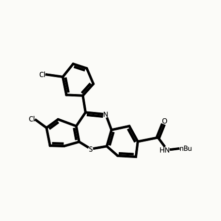 CCCCNC(=O)c1ccc2c(c1)N=C(c1cccc(Cl)c1)c1cc(Cl)ccc1S2